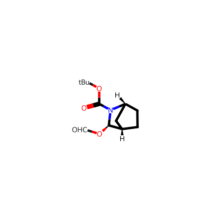 CC(C)(C)OC(=O)N1[C@@H]2CC[C@@H](C2)[C@H]1OC=O